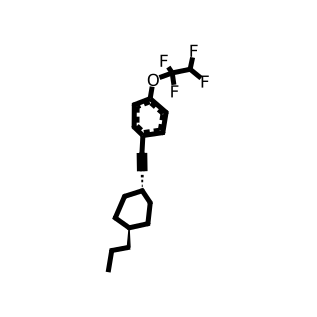 CCC[C@H]1CC[C@H](C#Cc2ccc(OC(F)(F)C(F)F)cc2)CC1